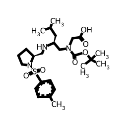 Cc1ccc(S(=O)(=O)N2CCC[C@H]2CN[C@@H](CC(C)C)CN(CC(=O)O)C(=O)OC(C)(C)C)cc1